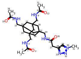 CC(=O)NCC12CC3(CNC(C)=O)CC(CNC(C)=O)(C1)CC(CNC(=O)Cc1cn(C)nn1)(C2)C3